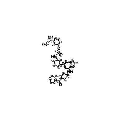 CC(C)c1cccc(OCC(=O)Nc2cccc(-c3cn4ccnc4c(Nc4ccc(C(=O)N5CCOCC5)cc4)n3)c2)c1